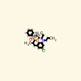 C=CCN(CC=C)c1cc(Cl)cc(C[C@@H](C)CS(=O)(=O)c2ccccc2)c1OCOC